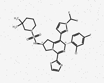 CC1(C)CCCN(S(=O)(=O)N[C@H]2CC3=C(c4ccn(C(F)F)n4)[C@H](c4ccc(F)cc4Cl)N=C(c4nccs4)N3C2)C1